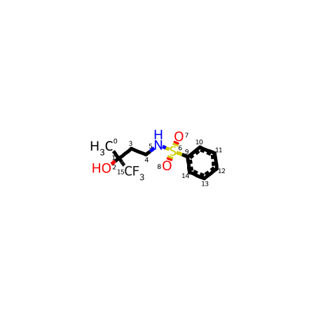 CC(O)(CCNS(=O)(=O)c1ccccc1)C(F)(F)F